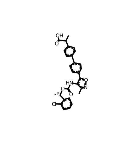 Cc1noc(-c2ccc(-c3ccc(C(C)C(=O)O)cc3)cc2)c1NC(=O)O[C@@H](C)c1ccccc1Cl